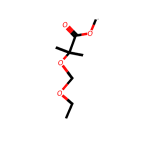 [CH2]OC(=O)C(C)(C)OCOCC